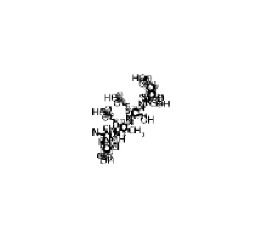 Cc1cc(N=Nc2c(C)c(C#N)c3nc4cc(S(=O)(=O)O)cc(Cl)c4n3c2O)c(OCCCS(=O)(=O)O)cc1N=Nc1cc(CO)c(N=Nc2nc3c(S(=O)(=O)O)cc4ccc(S(=O)(=O)O)cc4c3s2)cc1SCCCS(=O)(=O)O